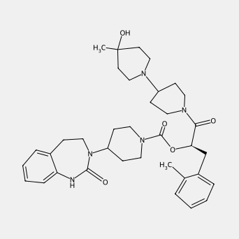 Cc1ccccc1C[C@@H](OC(=O)N1CCC(N2CCc3ccccc3NC2=O)CC1)C(=O)N1CCC(N2CCC(C)(O)CC2)CC1